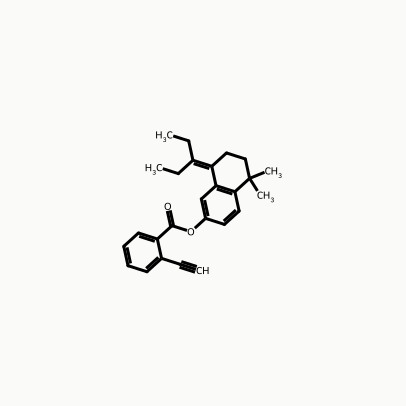 C#Cc1ccccc1C(=O)Oc1ccc2c(c1)C(=C(CC)CC)CCC2(C)C